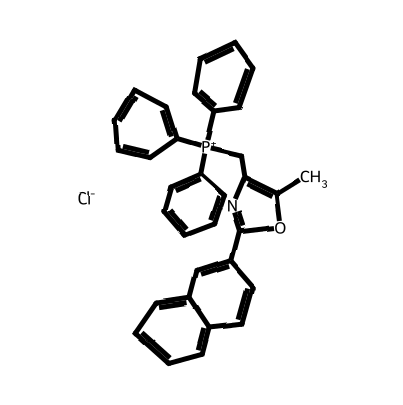 Cc1oc(-c2ccc3ccccc3c2)nc1C[P+](c1ccccc1)(c1ccccc1)c1ccccc1.[Cl-]